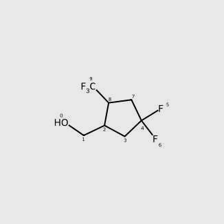 OCC1CC(F)(F)CC1C(F)(F)F